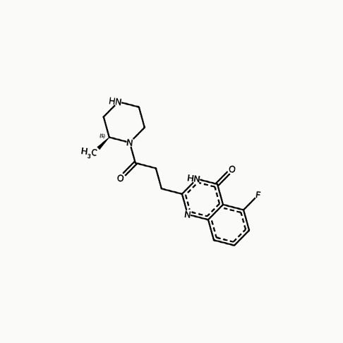 C[C@H]1CNCCN1C(=O)CCc1nc2cccc(F)c2c(=O)[nH]1